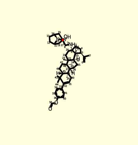 C=C(C)[C@@H]1CC[C@]2(NCCN3C4CCC3CC(C)(O)C4)CC[C@]3(C)[C@H](CC[C@@H]4[C@@]5(C)CC=C(c6ccc(OC=O)cc6)C(C)(C)[C@@H]5CC[C@]43C)[C@@H]12